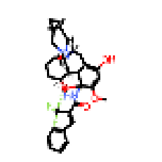 COC1=CC(O)=C2C[C@@H]3[C@@H]4CCC[C@@H]5OC1(NC(=O)C(=Cc1ccccc1)C(F)(F)F)C2[C@@]54CC[N+]3(CC(C)C)CC1CC1